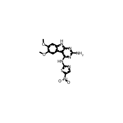 COc1cc2[nH]c3nc(N)nc(Nc4ncc([N+](=O)[O-])s4)c3c2cc1OC